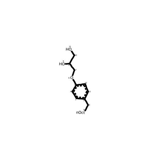 CCCCCCCCCc1ccc(OCC(O)CO)cc1